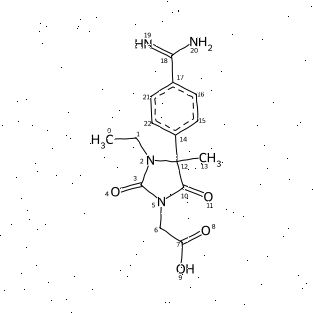 CCN1C(=O)N(CC(=O)O)C(=O)C1(C)c1ccc(C(=N)N)cc1